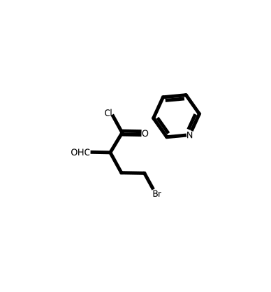 O=CC(CCBr)C(=O)Cl.c1ccncc1